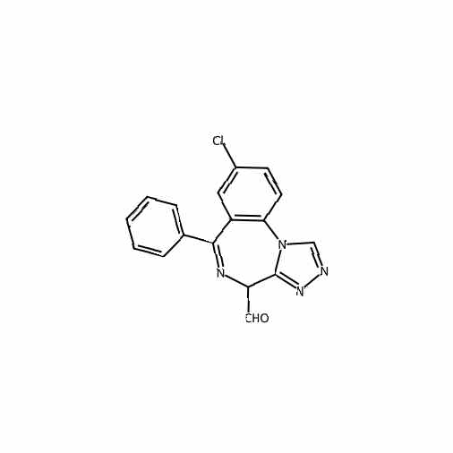 O=CC1N=C(c2ccccc2)c2cc(Cl)ccc2-n2cnnc21